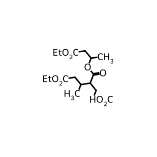 CCOC(=O)CC(C)OC(=O)C(CC(=O)O)C(C)CC(=O)OCC